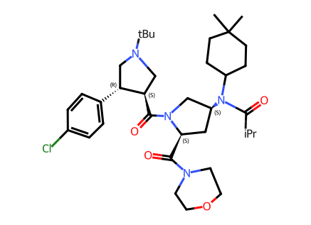 CC(C)C(=O)N(C1CCC(C)(C)CC1)[C@H]1C[C@@H](C(=O)N2CCOCC2)N(C(=O)[C@@H]2CN(C(C)(C)C)C[C@H]2c2ccc(Cl)cc2)C1